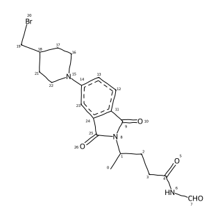 CC(CCC(=O)NC=O)N1C(=O)c2ccc(N3CCC(CBr)CC3)cc2C1=O